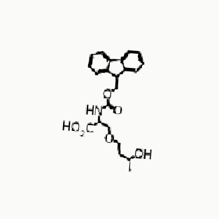 C[C@H](O)CCOC[C@H](NC(=O)OCC1c2ccccc2-c2ccccc21)C(=O)O